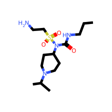 CCCNC(=O)N(C1CCN(C(C)C)CC1)S(=O)(=O)CCN